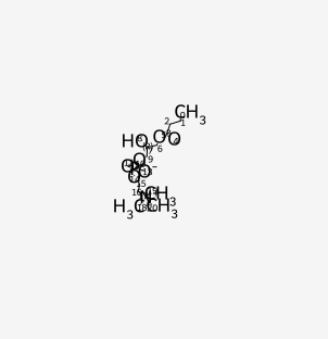 CCCC(=O)OC[C@@H](O)COP(=O)([O-])OCC[N+](C)(C)C